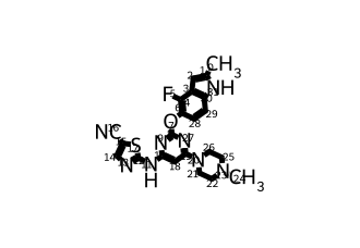 Cc1cc2c(F)c(Oc3nc(Nc4ncc(C#N)s4)cc(N4CCN(C)CC4)n3)ccc2[nH]1